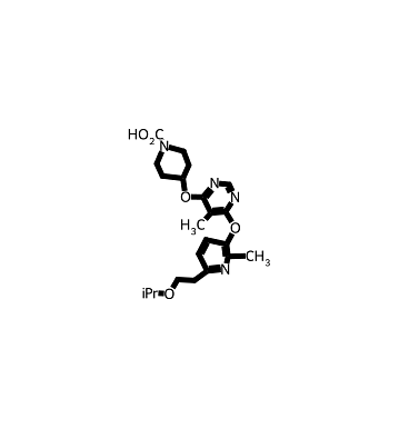 Cc1nc(CCOC(C)C)ccc1Oc1ncnc(OC2CCN(C(=O)O)CC2)c1C